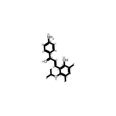 Cc1cc(C)c(OC(C)C)c(/C=C/C(=O)c2ccc(N)cc2)c1O